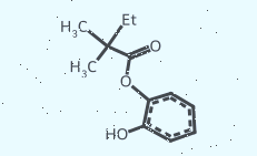 CCC(C)(C)C(=O)Oc1ccccc1O